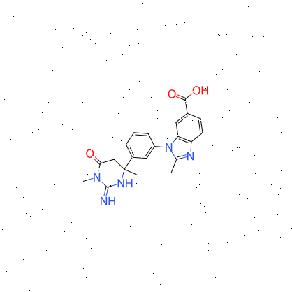 Cc1nc2ccc(C(=O)O)cc2n1-c1cccc(C2(C)CC(=O)N(C)C(=N)N2)c1